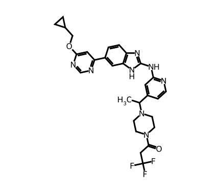 CC(c1ccnc(Nc2nc3ccc(-c4cc(OCC5CC5)ncn4)cc3[nH]2)c1)N1CCN(C(=O)CC(F)(F)F)CC1